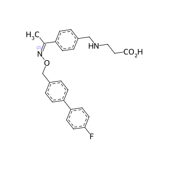 C/C(=N/OCc1ccc(-c2ccc(F)cc2)cc1)c1ccc(CNCCC(=O)O)cc1